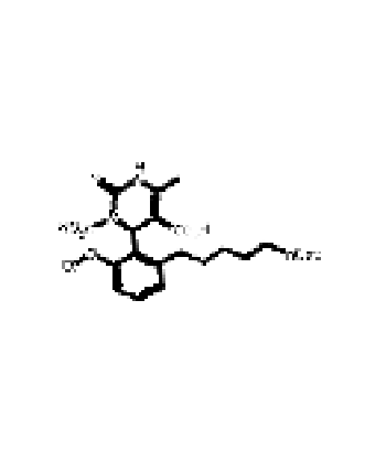 CCCCCCCCCCCCCCCc1cccc(OCC)c1C1C(C(=O)O)=C(C)NC(=S)N1C(=O)O